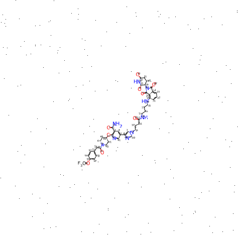 NC(=O)c1cc(-c2cn(CCCC(=O)NCCCCNc3cccc4c3C(=O)N(C3CCC(=O)NC3=O)C4=O)cn2)cnc1OC1CCN(C(=O)Cc2ccc(OC(F)(F)F)cc2)CC1